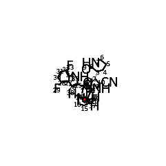 N#C[C@@H](C[C@H]1CCCNC1=O)NC(=O)[C@@H]1[C@@H]2CC[C@@H](CC2(F)F)N1C(=O)c1cc2c(F)ccc(F)c2[nH]1